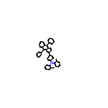 Cc1ccccc1N(c1ccc(-c2ccc3c(-c4ccccc4)c4ccccc4c(-c4ccccc4)c3c2)cc1)c1ccccc1C